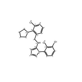 Clc1cccc(-n2nnnc2NCc2ccnc(Cl)c2N2CCCC2)c1Cl